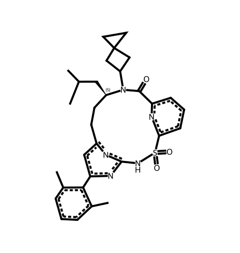 Cc1cccc(C)c1-c1cc2nc(n1)NS(=O)(=O)c1cccc(n1)C(=O)N(C1CC3(CC3)C1)[C@H](CC(C)C)CC2